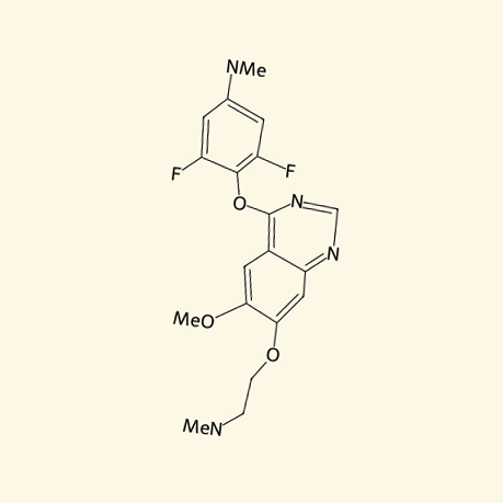 CNCCOc1cc2ncnc(Oc3c(F)cc(NC)cc3F)c2cc1OC